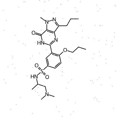 CCCOc1ccc(S(=O)(=O)NC(C)CN(C)C)cc1-c1nc2c(CCC)nn(C)c2c(=O)[nH]1